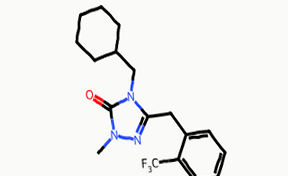 Cn1nc(Cc2ccccc2C(F)(F)F)n(CC2CCCCC2)c1=O